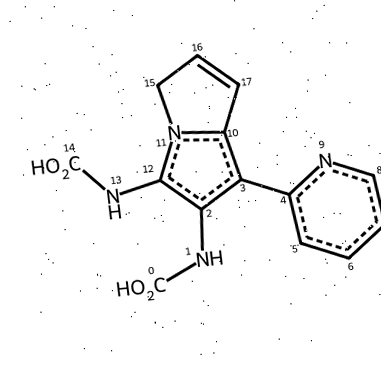 O=C(O)Nc1c(-c2ccccn2)c2n(c1NC(=O)O)CC=C2